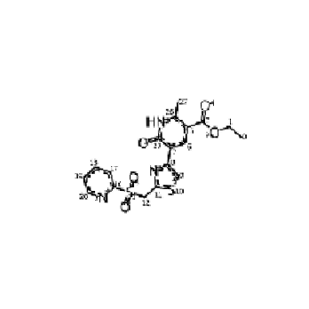 CCOC(=O)c1cc(-c2csc(CS(=O)(=O)c3ccccn3)n2)c(=O)[nH]c1C